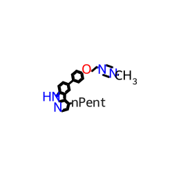 CCCCCc1ccnc2[nH]c3ccc(-c4ccc(OCCN5CCN(C)CC5)cc4)cc3c12